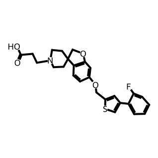 O=C(O)CCN1CCC2(CC1)COc1cc(OCc3cc(-c4ccccc4F)cs3)ccc12